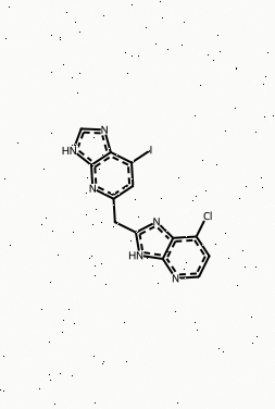 Clc1ccnc2[nH]c(Cc3cc(I)c4nc[nH]c4n3)nc12